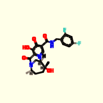 C[C@H]1CC[C@@](C)(O)[C@H]2CN1C(=O)c1c(O)c(=O)c(C(=O)NCc3ccc(F)cc3F)cn12